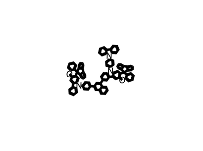 c1ccc2c(c1)Oc1cc3c4ccccc4n(-c4ccc(-c5cc(-c6ccc7c(c6)c6cc8c(cc6n7-c6ccc(-n7c9ccccc9c9ccccc97)cc6)C6(c7ccccc7O8)c7ccccc7-c7ccccc76)c6ccccc6c5)cc4)c3cc1C21c2ccccc2-c2ccccc21